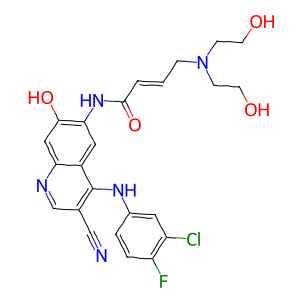 N#Cc1cnc2cc(O)c(NC(=O)/C=C/CN(CCO)CCO)cc2c1Nc1ccc(F)c(Cl)c1